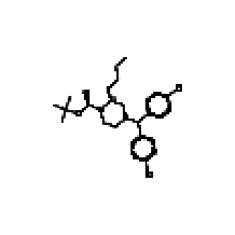 CCCC[C@H]1CN(C(c2ccc(Cl)cc2)c2ccc(Cl)cc2)CCN1C(=O)OC(C)(C)C